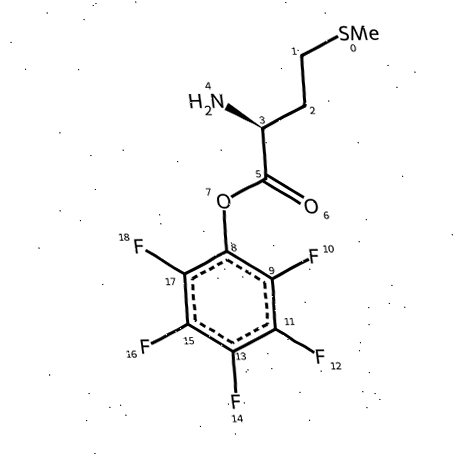 CSCC[C@H](N)C(=O)Oc1c(F)c(F)c(F)c(F)c1F